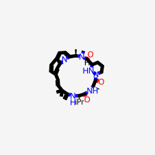 C=C1N[C@@H](C(C)C)C(=O)N[C@@H](C)C(=O)N2CCC[C@H](N2)C(=O)N(C)[C@H](C)c2ccc3ccc(cc3n2)/C=C/C1(C)C